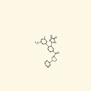 Cc1cc(-c2ccc(C(=O)N3CCC(c4cccnc4)C3)cc2-c2n[nH]c(=O)o2)cc(C(F)(F)F)c1